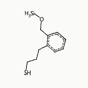 [SiH3]OCc1ccccc1CCCS